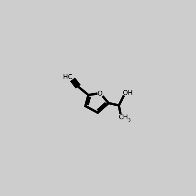 C#Cc1ccc(C(C)O)o1